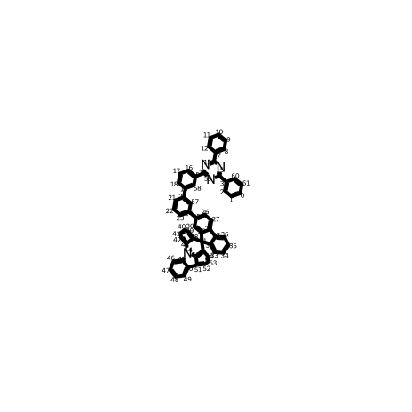 c1ccc(-c2nc(-c3ccccc3)nc(-c3cccc(-c4cccc(-c5ccc6c(c5)C5(c7ccccc7-6)c6ccccc6-n6c7ccccc7c7cccc5c76)c4)c3)n2)cc1